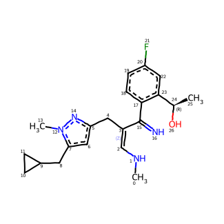 CN/C=C(/Cc1cc(CC2CC2)n(C)n1)C(=N)c1ccc(F)cc1[C@@H](C)O